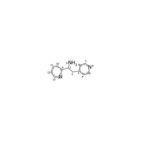 NC(Cc1ccncc1)c1ccccn1